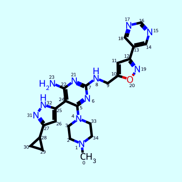 CN1CCN(c2nc(NCc3cc(-c4cncnc4)no3)nc(N)c2-c2cc(C3CC3)n[nH]2)CC1